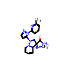 CNC1(C(N)=O)CN(c2ccnn2-c2cccc(C)n2)N2C=CC=CC21